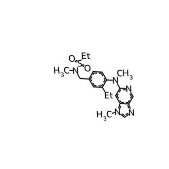 CCc1cc(CN(C)S(=O)(=O)CC)ccc1N(C)c1cc2c(cn1)ncn2C